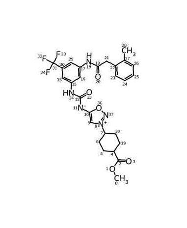 COC(=O)C1CCC([n+]2cc([N-]C(=O)Nc3cc(NC(=O)Cc4ccccc4C)cc(C(F)(F)F)c3)on2)CC1